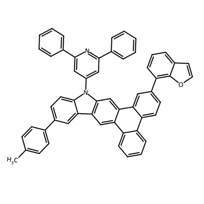 Cc1ccc(-c2ccc3c(c2)c2cc4c5ccccc5c5ccc(-c6cccc7ccoc67)cc5c4cc2n3-c2cc(-c3ccccc3)nc(-c3ccccc3)c2)cc1